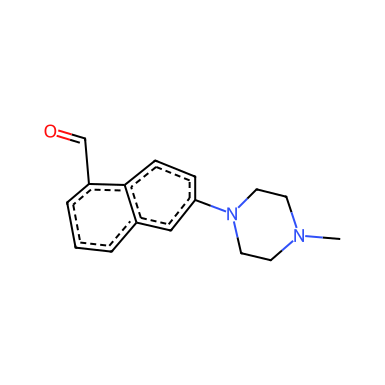 CN1CCN(c2ccc3c(C=O)cccc3c2)CC1